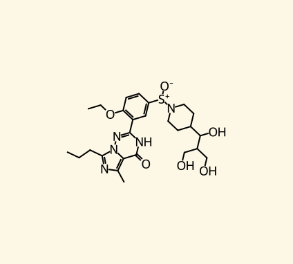 CCCc1nc(C)c2c(=O)[nH]c(-c3cc([S+]([O-])N4CCC(C(O)C(CO)CO)CC4)ccc3OCC)nn12